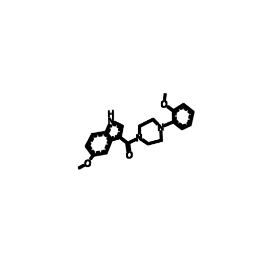 COc1ccc2[nH]cc(C(=O)N3CCN(c4ccccc4OC)CC3)c2c1